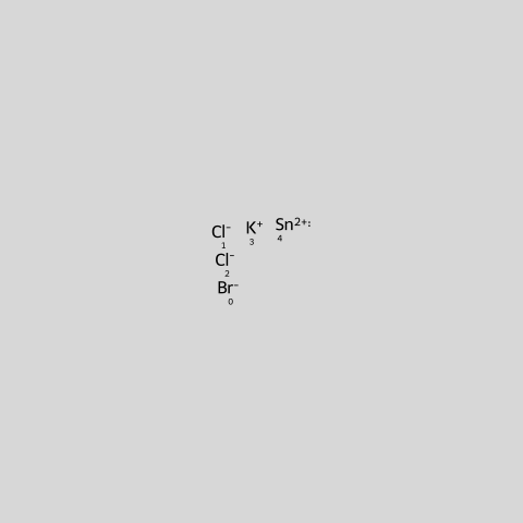 [Br-].[Cl-].[Cl-].[K+].[Sn+2]